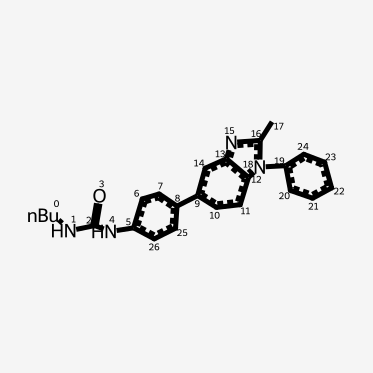 CCCCNC(=O)Nc1ccc(-c2ccc3c(c2)nc(C)n3-c2ccccc2)cc1